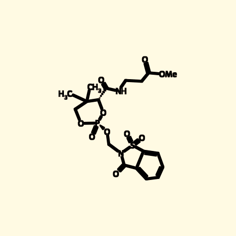 COC(=O)CCNC(=O)[C@@H]1O[P@@](=O)(OCN2C(=O)c3ccccc3S2(=O)=O)OCC1(C)C